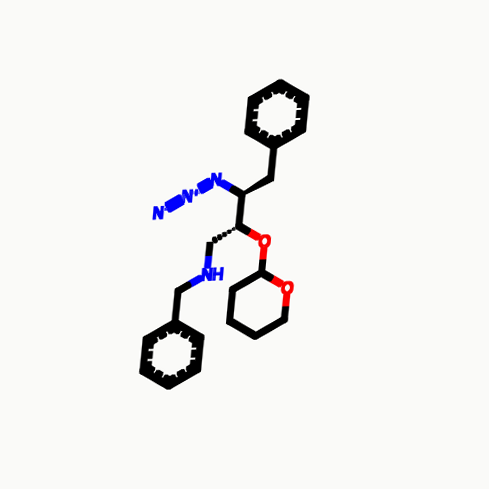 [N-]=[N+]=N[C@@H](Cc1ccccc1)[C@@H](CNCc1ccccc1)OC1CCCCO1